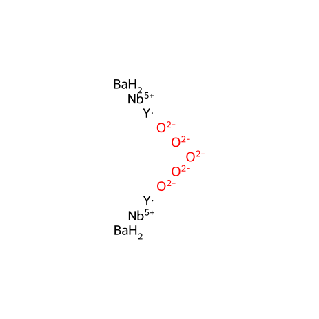 [BaH2].[BaH2].[Nb+5].[Nb+5].[O-2].[O-2].[O-2].[O-2].[O-2].[Y].[Y]